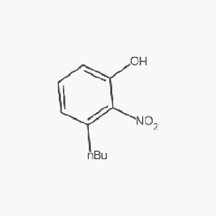 CCCCc1cccc(O)c1[N+](=O)[O-]